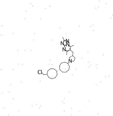 Cc1nc2nc(C)c(CC3CCN(C4CCCC[C@H](C5CCCCC(CCl)CCC5)CCC4)C3)c(C)n2n1